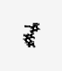 C=C1C(=O)OC2c3c(C)c(OCc4cccc(OC)c4OC)cc(C)c3CC[C@@H]12